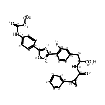 CC(C)(C)OC(=O)Nc1ccc(-c2nc(-c3ccc(CC(NC(=O)C4CC4c4ccccc4)C(=O)O)cc3F)no2)cc1